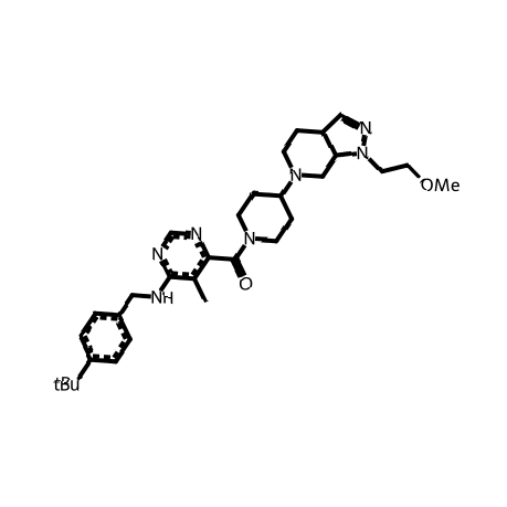 COCCN1N=CC2CCN(C3CCN(C(=O)c4ncnc(NCc5ccc(C(C)(C)C)cc5)c4C)CC3)CC21